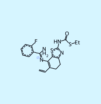 C=CC1=C(/N=C(\N)c2ccccc2F)c2sc(NC(=O)SCC)nc2CC1